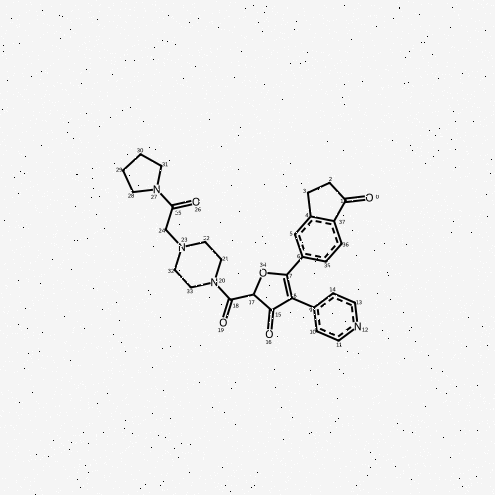 O=C1CCc2cc(C3=C(c4ccncc4)C(=O)C(C(=O)N4CCN(CC(=O)N5CCCC5)CC4)O3)ccc21